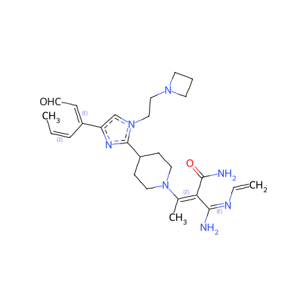 C=C/N=C(N)\C(C(N)=O)=C(/C)N1CCC(c2nc(C(/C=C\C)=C/C=O)cn2CCN2CCC2)CC1